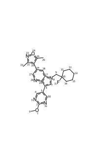 COc1ncc(-c2cn(CC3(F)CCCCC3)c3cc(-c4c(C)noc4C)cnc23)cn1